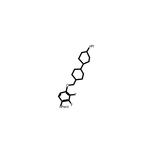 CCCCCc1ccc(OCC2CCC(C3CCC(CCC)CC3)CC2)c(F)c1F